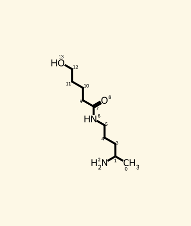 CC(N)CCCNC(=O)CCCCO